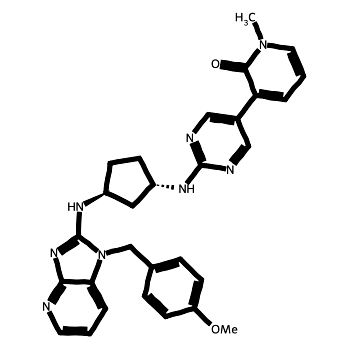 COc1ccc(Cn2c(N[C@H]3CC[C@H](Nc4ncc(-c5cccn(C)c5=O)cn4)C3)nc3ncccc32)cc1